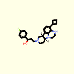 OC(CCN1CC[C@H]2[C@@H](C1)c1ccc(C3CCC3)c3c1N2CCN3)c1ccc(F)cc1